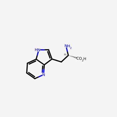 N[C@@H](Cc1c[nH]c2cccnc12)C(=O)O